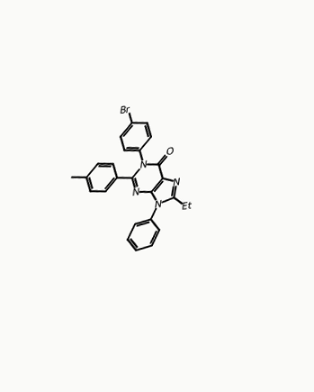 CCc1nc2c(=O)n(-c3ccc(Br)cc3)c(-c3ccc(C)cc3)nc2n1-c1ccccc1